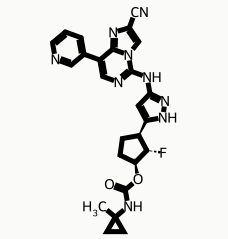 CC1(NC(=O)O[C@H]2CC[C@@H](c3cc(Nc4ncc(-c5cccnc5)c5nc(C#N)cn45)n[nH]3)[C@@H]2F)CC1